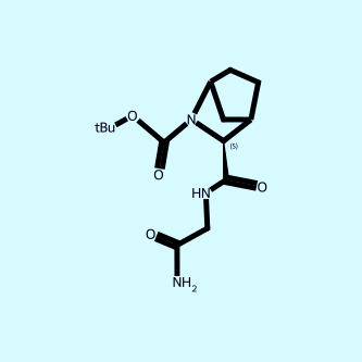 CC(C)(C)OC(=O)N1C2CCC(C2)[C@H]1C(=O)NCC(N)=O